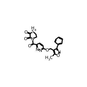 Cc1onc(-c2ccccc2)c1COc1ccc(C(=O)N2CC[SH4]C(=O)C2=O)nn1